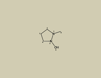 CN1CCCN1O